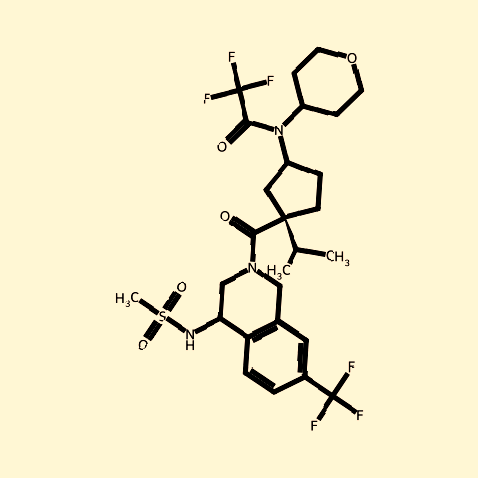 CC(C)[C@]1(C(=O)N2Cc3cc(C(F)(F)F)ccc3C(NS(C)(=O)=O)C2)CCC(N(C(=O)C(F)(F)F)C2CCOCC2)C1